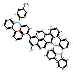 Cc1ccc(N(c2ccc(-c3cc(C(C)C)c4ccc5c(N(c6ccccc6-c6ccccc6)c6cccc7c6oc6ccccc67)cc(C(C)C)c6ccc3c4c65)cc2)c2ccccc2-c2ccccc2)cc1